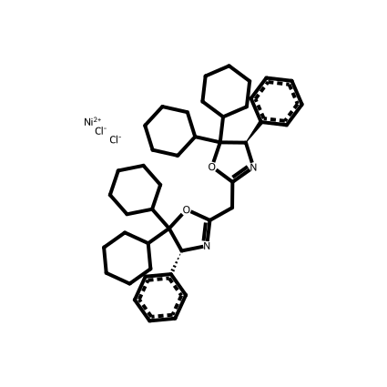 [Cl-].[Cl-].[Ni+2].c1ccc([C@H]2N=C(CC3=N[C@H](c4ccccc4)C(C4CCCCC4)(C4CCCCC4)O3)OC2(C2CCCCC2)C2CCCCC2)cc1